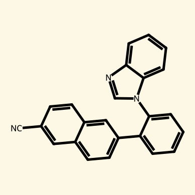 N#Cc1ccc2cc(-c3ccccc3-n3cnc4ccccc43)ccc2c1